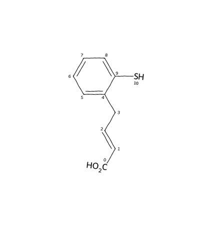 O=C(O)C=CCc1ccccc1S